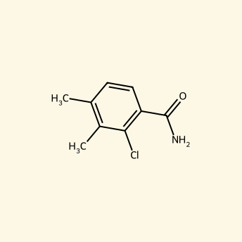 Cc1ccc(C(N)=O)c(Cl)c1C